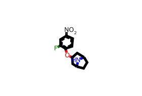 O=[N+]([O-])c1ccc(OC2CC3CCC(C2)N3)c(F)c1